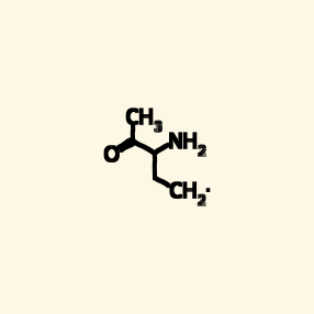 [CH2]CC(N)C(C)=O